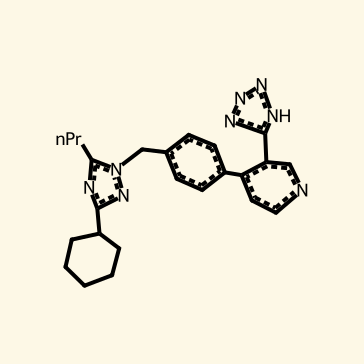 CCCc1nc(C2CCCCC2)nn1Cc1ccc(-c2ccncc2-c2nnn[nH]2)cc1